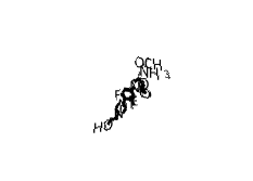 CC(=O)NC[C@H]1CN(c2cc(F)c(N3CCN(CCO)CC3)c(F)c2)C(=O)O1